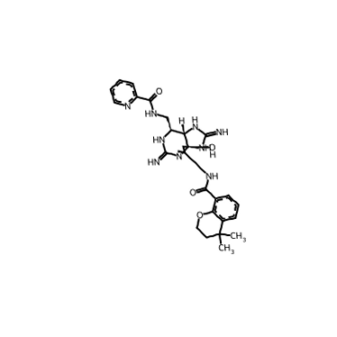 CC1(C)CCOc2c(C(=O)NC3CN4C(=N)N[C@@H](CNC(=O)c5ccccn5)[C@@H]5NC(=N)N[C@@]54[C@@H]3O)cccc21